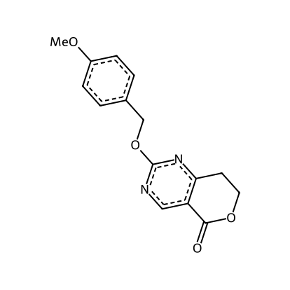 COc1ccc(COc2ncc3c(n2)CCOC3=O)cc1